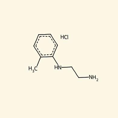 Cc1ccccc1NCCN.Cl